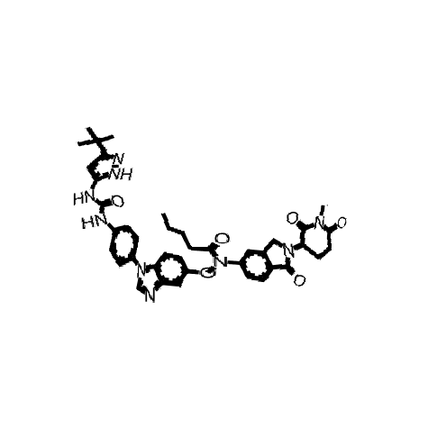 [CH2]N1C(=O)CCC(N2Cc3cc(N(Oc4ccc5c(c4)ncn5-c4ccc(NC(=O)Nc5cc(C(C)(C)C)n[nH]5)cc4)C(=O)CCCC)ccc3C2=O)C1=O